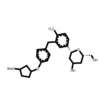 COC1CCC(Oc2ccc(Cc3cc([C@H]4CC(O)C[C@@H](CO)O4)ccc3C)cc2)C1